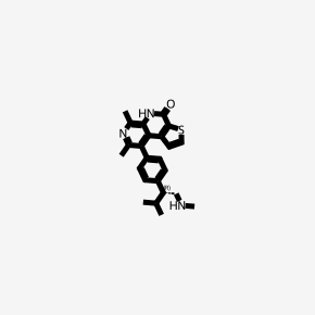 CNC[C@@H](c1ccc(-c2c(C)nc(C)c3[nH]c(=O)c4sccc4c23)cc1)C(C)C